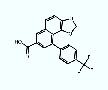 O=C(O)c1cc(-c2ccc(C(F)(F)F)cc2)c2c3c(ccc2c1)OCO3